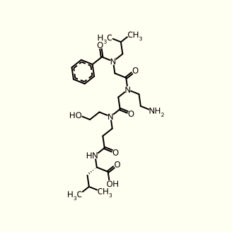 CC(C)C[C@H](NC(=O)CCN(CCO)C(=O)CN(CCN)C(=O)CN(CC(C)C)C(=O)c1ccccc1)C(=O)O